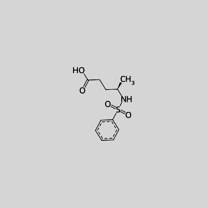 C[C@H](CCC(=O)O)NS(=O)(=O)c1ccccc1